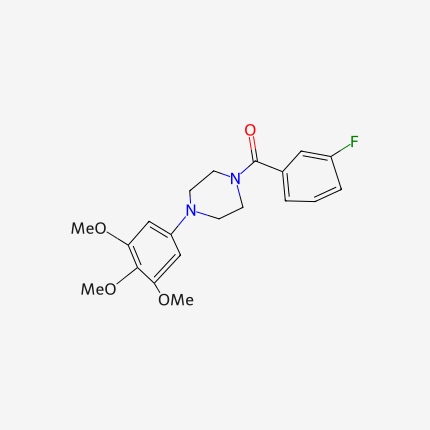 COc1cc(N2CCN(C(=O)c3cccc(F)c3)CC2)cc(OC)c1OC